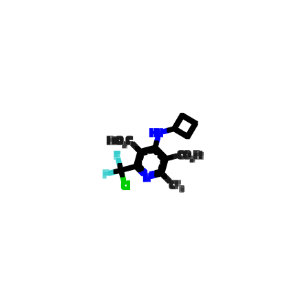 CCOC(=O)c1c(C(F)(F)F)nc(C(F)(F)Cl)c(C(=O)OCC)c1NC1CCC1